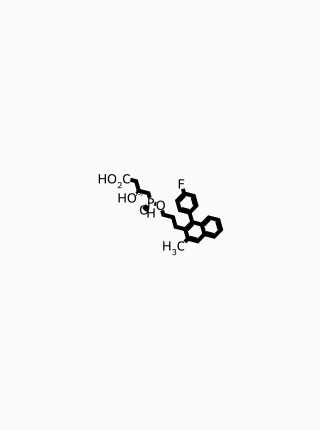 Cc1cc2ccccc2c(-c2ccc(F)cc2)c1CCCO[PH](=O)C[C@@H](O)CC(=O)O